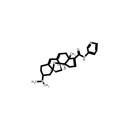 CN(C)C1CCC2=CC3=CCC4(C)C(C(=O)Nc5cccnc5)=CC[C@H]4[C@@]34CC[C@]2(C1)O4